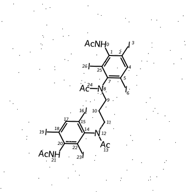 CC(=O)Nc1c(I)cc(I)c(N(CCCN(C(C)=O)c2c(I)cc(I)c(NC(C)=O)c2I)C(C)=O)c1I